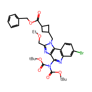 CCOCc1nc2c(N(C(=O)OC(C)(C)C)C(=O)OC(C)(C)C)nc3cc(Br)ccc3c2n1CC1CC(C(=O)OCc2ccccc2)C1